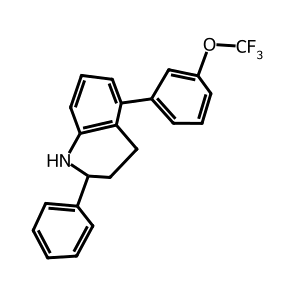 FC(F)(F)Oc1cccc(-c2cccc3c2CCC(c2ccccc2)N3)c1